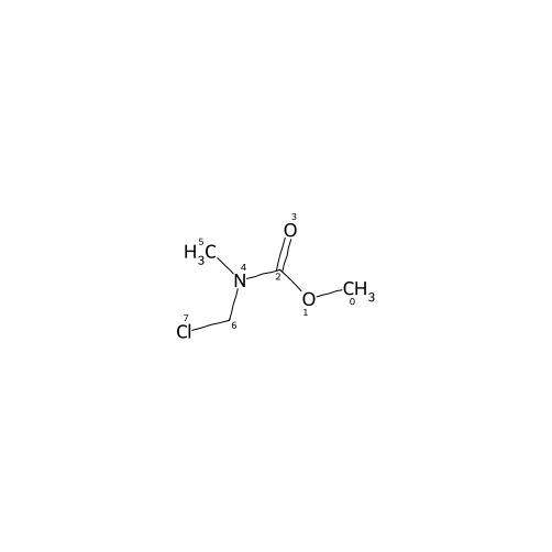 COC(=O)N(C)CCl